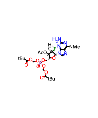 CNc1nc(N)nc2c1ncn2[C@@H]1O[C@H](COP(=O)(OCOC(=O)C(C)(C)C)OCOC(=O)C(C)(C)C)[C@@H](OC(C)=O)[C@@]1(C)F